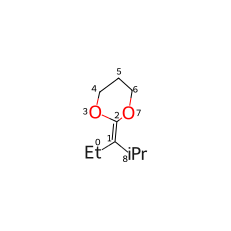 CCC(=C1OCCCO1)C(C)C